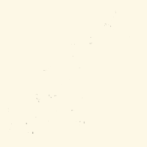 C[Si](C)(C)c1cc(C(=O)O)n(-c2ccc(OCCN3CCOCC3)cc2)n1